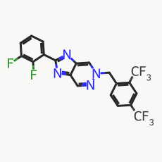 Fc1cccc(-c2nc3cnn(Cc4ccc(C(F)(F)F)cc4C(F)(F)F)cc-3n2)c1F